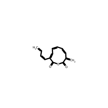 C=C\C=C/C1=C\C=C/C=C\C(=C)C(=O)OC1=O